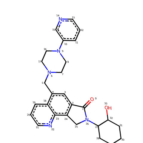 O=C1c2cc(CN3CCN(c4cccnc4)CC3)c3cccnc3c2CN1C1CCCCC1O